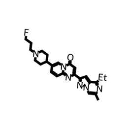 CCc1nc(C)cn2nc(-c3cc(=O)n4cc(C5CCN(CCCF)CC5)ccc4n3)cc12